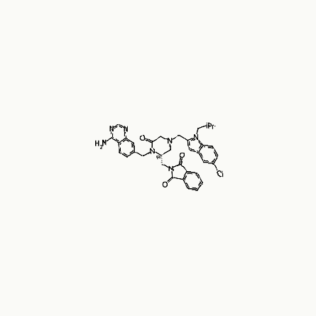 C[C](C)Cn1c(CN2CC(=O)N(Cc3ccc4c(N)ncnc4c3)[C@@H](CN3C(=O)c4ccccc4C3=O)C2)cc2cc(Cl)ccc21